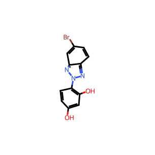 Oc1ccc(-n2nc3ccc(Br)cc3n2)c(O)c1